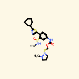 CN1CCCN1SCOC(=O)Nc1ccc(-c2cnc(C3CCCCC3)s2)c([S+]([O-])NC(C)(C)C)c1